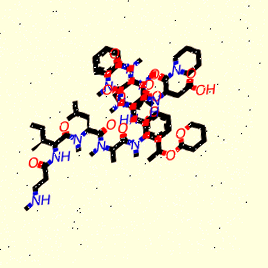 CCC(NC(=O)C(CC(C)OC1CCCCO1)N(C)C(=O)C(C)N(C)C(=O)[C@H](CC(C)C)N(C)C(=O)C(NC(=O)CCNC)[C@@H](C)CC)C(=O)N(C)[C@@H](Cc1ccccc1)C(=O)N(C)[C@@H](C)C(=O)N(C)C(CC(C)C)C(=O)N(C)C(Cc1ccccc1)C(=O)NC(CC(=O)O)C(=O)N1CCCCC1